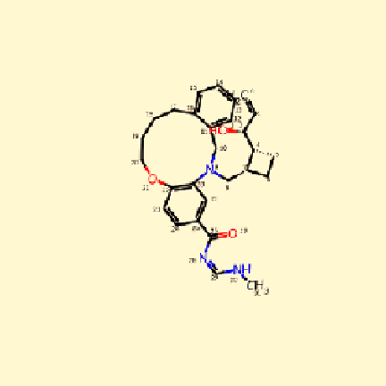 C=C[C@H](O)[C@@H]1CC[C@H]1CN1Cc2ccccc2CCCCOc2ccc(C(=O)/N=C\NC)cc21